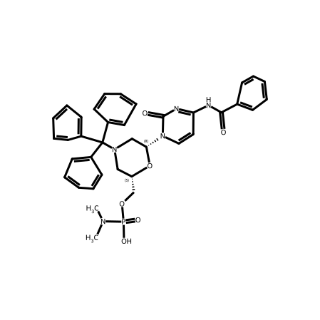 CN(C)P(=O)(O)OC[C@@H]1CN(C(c2ccccc2)(c2ccccc2)c2ccccc2)C[C@H](n2ccc(NC(=O)c3ccccc3)nc2=O)O1